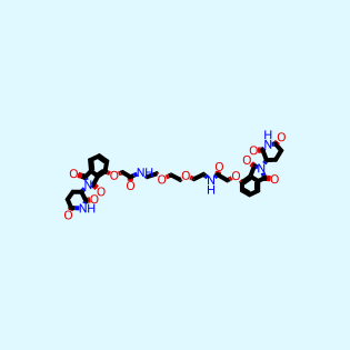 O=C(COc1cccc2c1C(=O)N(C1CCC(=O)NC1=O)C2=O)NCCOCCOCCNC(=O)COc1cccc2c1C(=O)N(C1CCC(=O)NC1=O)C2=O